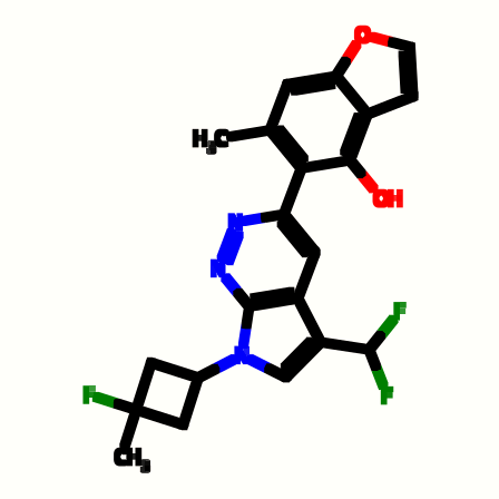 Cc1cc2occc2c(O)c1-c1cc2c(C(F)F)cn(C3CC(C)(F)C3)c2nn1